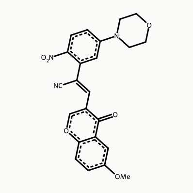 COc1ccc2occ(/C=C(\C#N)c3cc(N4CCOCC4)ccc3[N+](=O)[O-])c(=O)c2c1